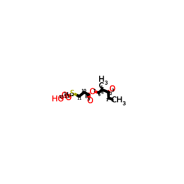 CCC(=O)C(C)COC(=O)CCSOOO